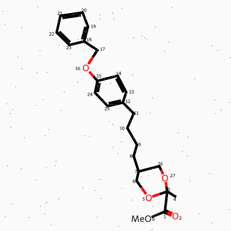 COC(=O)C1(C)OCC(CCCCc2ccc(OCc3ccccc3)cc2)CO1